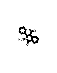 CC(=O)c1c(-c2ccccc2)n(N)c(=O)c2ccccc12